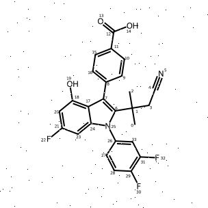 CC(C)(CC#N)c1c(-c2ccc(C(=O)O)cc2)c2c(O)cc(F)cc2n1-c1ccc(F)c(F)c1